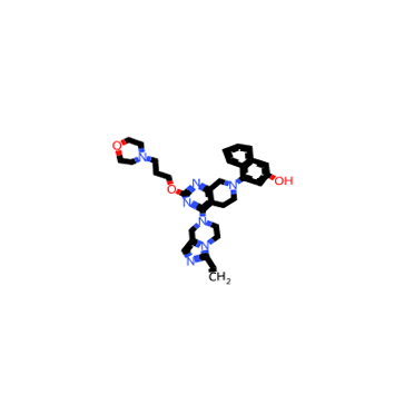 C=Cc1ncc2n1CCN(c1nc(OCCCN3CCOCC3)nc3c1CCN(c1cc(O)cc4ccccc14)C3)C2